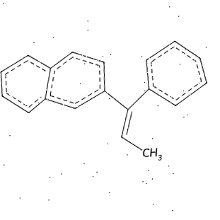 CC=C(c1ccccc1)c1ccc2ccccc2c1